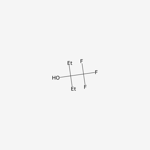 CCC(O)(CC)C(F)(F)F